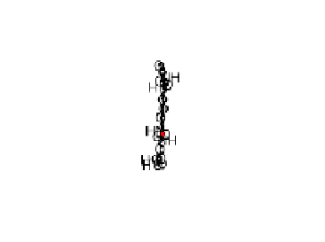 CO[C@H]1CC[C@H](NC(=O)C(=O)NCCCOCCOCCOCCCNC(=O)C(=O)NCCOCCOP(=O)(O)O)CC1